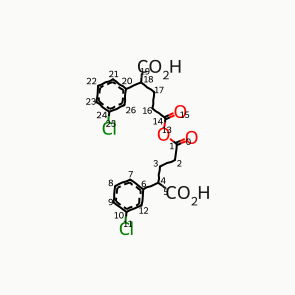 O=C(CCC(C(=O)O)c1cccc(Cl)c1)OC(=O)CCC(C(=O)O)c1cccc(Cl)c1